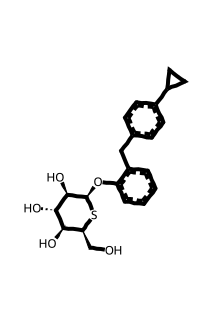 OC[C@@H]1S[C@H](Oc2ccccc2Cc2ccc(C3CC3)cc2)[C@H](O)[C@@H](O)[C@@H]1O